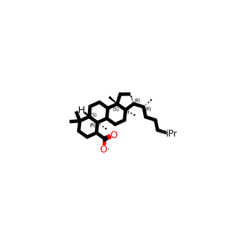 CC(C)CCC[C@@H](C)[C@H]1CC[C@@]2(C)C3CC[C@H]4C(C)(C)CCC(C([O])=O)[C@]4(C)C3CC[C@]12C